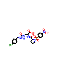 O=C(NCc1ccc(Br)cc1)NCC(NC(=O)C1CCCN1S(=O)(=O)c1ccc([N+](=O)[O-])cc1)C(=O)O